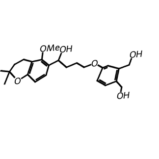 COc1c(C(O)CCCOc2ccc(CO)c(CO)c2)ccc2c1CCC(C)(C)O2